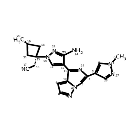 Cn1cc(-c2cn3nccc3c(-c3cn([C@]4(CC#N)C[C@H](C)C4)nc3N)n2)cn1